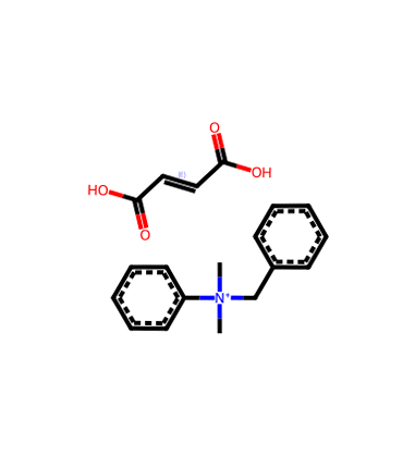 C[N+](C)(Cc1ccccc1)c1ccccc1.O=C(O)/C=C/C(=O)O